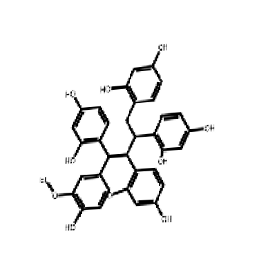 CCOc1cc(C(c2ccc(O)cc2O)C(c2ccc(O)cc2O)C(Cc2ccc(O)cc2O)c2ccc(O)cc2O)ccc1O